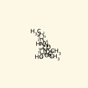 Cc1ccc(-c2cnc(C3CCC(O)CN3C(=O)C(C)[S+](C)[O-])[nH]2)cc1